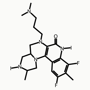 Cc1c(F)cc2c3c(c(=O)n(I)c2c1F)N(CCCN(C)C)CC1CN(I)C(C)CN31